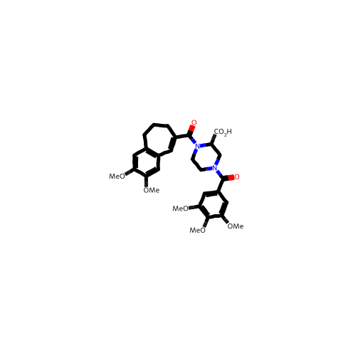 COc1cc2c(cc1OC)CCCC(C(=O)N1CCN(C(=O)c3cc(OC)c(OC)c(OC)c3)CC1C(=O)O)=C2